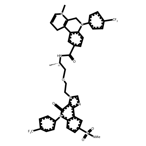 CNS(=O)(=O)c1ccc2c(c1)c1ncn(CCOC[C@H](C)NC(=O)c3ccc4c(c3)C3=C(CN4c4ccc(C(F)(F)F)cc4)N(C)C=CC3)c1c(=O)n2-c1ccc(C(F)(F)F)cc1